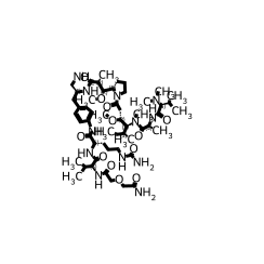 CC[C@H](C)[C@@H]([C@@H](CC(=O)N1CCC[C@H]1[C@H](OC)[C@@H](C)C(=O)N[C@H](CN)Cc1ccc(NC(=O)[C@H](CCCNC(N)=O)NC(=O)[C@@H](NC(=O)COCC(N)=O)C(C)C)cc1)OC)N(C)C(=O)[C@H](C)NC(=O)[C@H](C(C)C)N(C)C